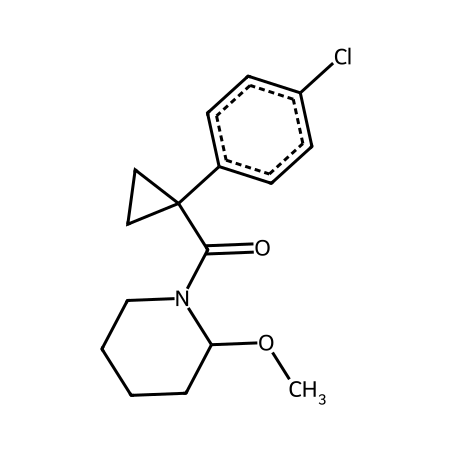 COC1CCCCN1C(=O)C1(c2ccc(Cl)cc2)CC1